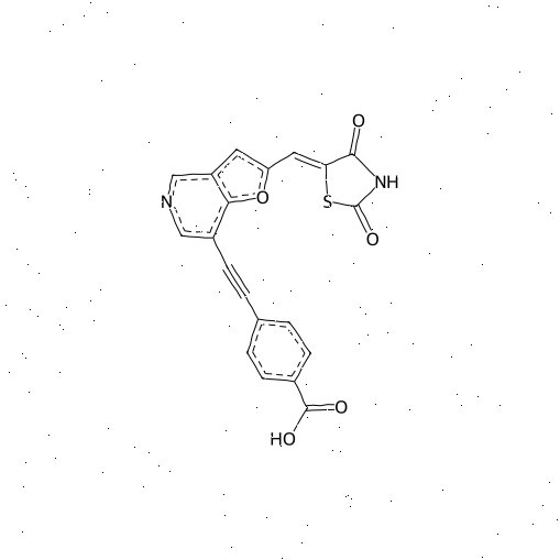 O=C1NC(=O)C(=Cc2cc3cncc(C#Cc4ccc(C(=O)O)cc4)c3o2)S1